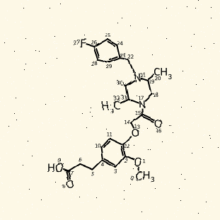 COc1cc(CCC(=O)O)ccc1OCC(=O)N1CC(C)N(Cc2ccc(F)cc2)CC1C